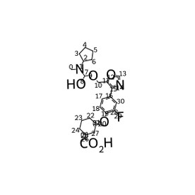 CN(C1CCCC1)C(O)OCc1ocnc1-c1ccc(O[C@H]2CCC[C@H](C(=O)O)C2)c(F)c1